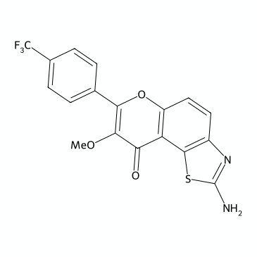 COc1c(-c2ccc(C(F)(F)F)cc2)oc2ccc3nc(N)sc3c2c1=O